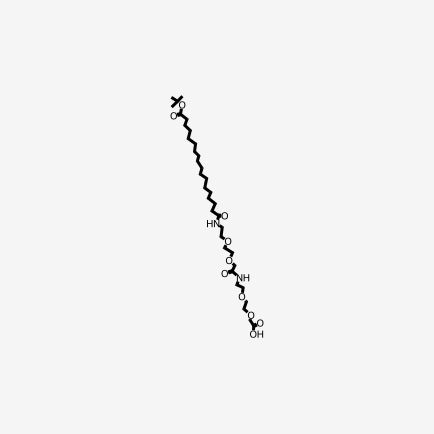 CC(C)(C)OC(=O)CCCCCCCCCCCCCCCCC(=O)NCCOCCOCC(=O)NCCOCCOCC(=O)O